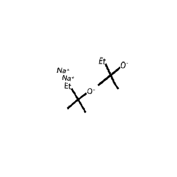 CCC(C)(C)[O-].CCC(C)(C)[O-].[Na+].[Na+]